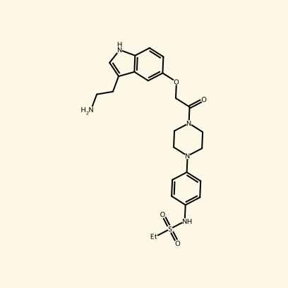 CCS(=O)(=O)Nc1ccc(N2CCN(C(=O)COc3ccc4[nH]cc(CCN)c4c3)CC2)cc1